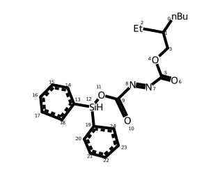 CCCCC(CC)COC(=O)N=NC(=O)O[SiH](c1ccccc1)c1ccccc1